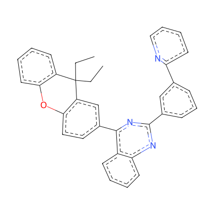 CCC1(CC)c2ccccc2Oc2ccc(-c3nc(-c4cccc(-c5ccccn5)c4)nc4ccccc34)cc21